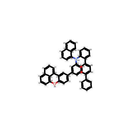 c1ccc(-c2ccc(-c3ccccc3N(c3cccc(-c4ccc5c(c4)-c4cccc6cccc(c46)O5)c3)c3cccc4ccccc34)cc2)cc1